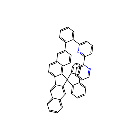 c1ccc(-c2cccc(-c3ccccc3-c3ccc4c5c(ccc4c3)-c3cc4ccccc4cc3C53c4ccccc4-c4ccccc43)n2)nc1